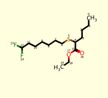 CCCCC(SCCCCCCC(F)F)C(=O)OCC